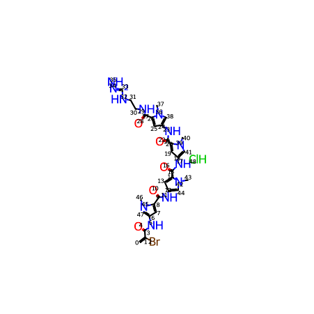 C=C(Br)C(=O)Nc1cc(C(=O)Nc2cc(C(=O)Nc3cc(C(=O)Nc4cc(C(=O)NCCNC=NN)n(C)c4)n(C)c3)n(C)c2)n(C)c1.Cl